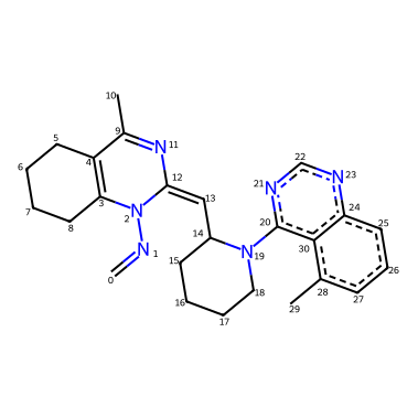 C=NN1C2=C(CCCC2)C(C)=N/C1=C/C1CCCCN1c1ncnc2cccc(C)c12